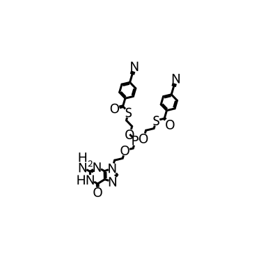 N#Cc1ccc(C(=O)SCCOP(COCCn2cnc3c(=O)[nH]c(N)nc32)OCCSC(=O)c2ccc(C#N)cc2)cc1